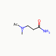 CC(=O)N(C)C[CH]C(N)=O